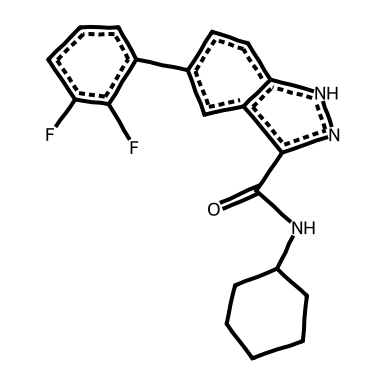 O=C(NC1CCCCC1)c1n[nH]c2ccc(-c3cccc(F)c3F)cc12